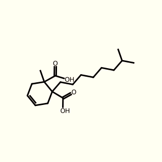 CC(C)CCCCCCC1(C(=O)O)CC=CCC1(C)C(=O)O